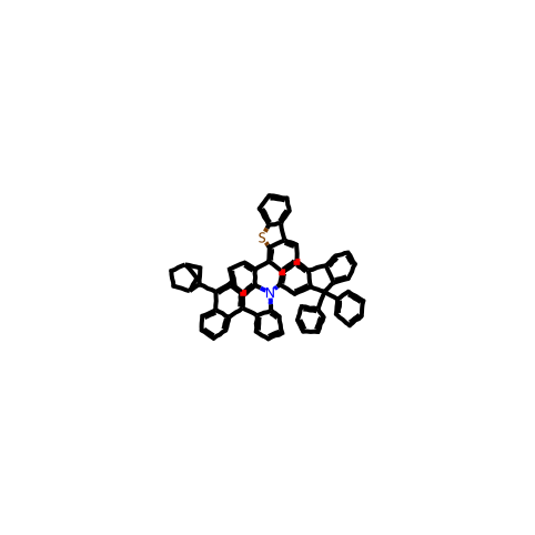 c1ccc(C2(c3ccccc3)c3ccccc3-c3ccc(N(c4ccccc4-c4ccc(C5CC6CCC5C6)c5ccccc45)c4ccccc4-c4cccc5c4sc4ccccc45)cc32)cc1